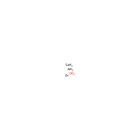 O.[AlH3].[GaH3].[Zn]